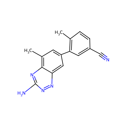 Cc1ccc(C#N)cc1-c1cc(C)c2nc(N)nnc2c1